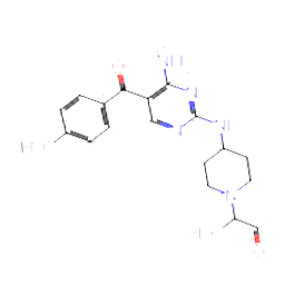 Cc1ccc(C(=O)c2cnc(NC3CCN(C(C)C=O)CC3)nc2N)cc1